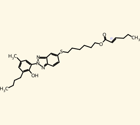 CCC/C=C/C(=O)OCCCCCCSc1ccc2nn(-c3cc(C)cc(CCCC)c3O)nc2c1